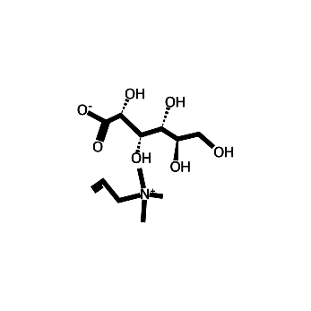 C=CC[N+](C)(C)C.O=C([O-])[C@H](O)[C@@H](O)[C@H](O)[C@H](O)CO